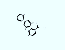 COC(=O)c1ccc(O)cc1.Cc1cccc(O)c1.Oc1ccccc1